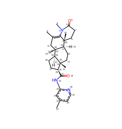 CC1=C2N(C)C(=O)CC[C@]2(C)[C@H]2CC[C@]3(C)[C@@H](C(=O)Nc4cc(C)ccn4)CC[C@H]3[C@@H]2C1